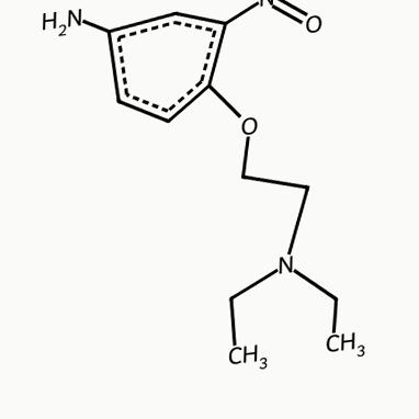 CCN(CC)CCOc1ccc(N)cc1N=O